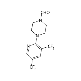 O=CN1CCN(c2ncc(C(F)(F)F)cc2C(F)(F)F)CC1